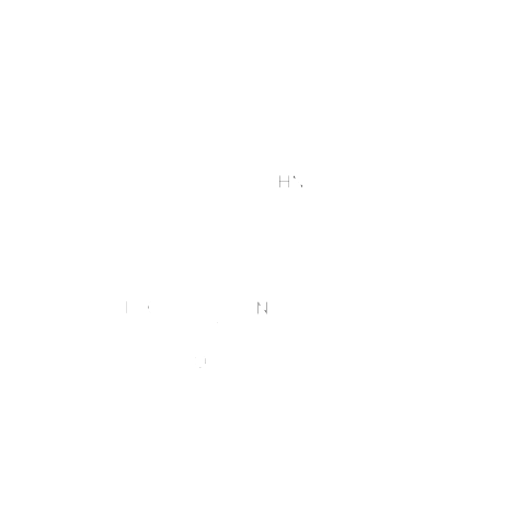 CCC(=O)N1C=C(C2CCCCN2)CCC1